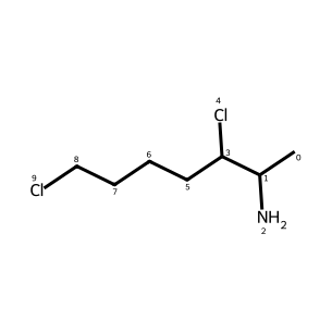 CC(N)C(Cl)CCCCCl